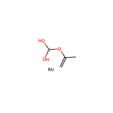 C=C(C)OB(O)O.[KH]